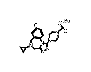 CC(C)(C)OC(=O)N1CCN(c2nnc3n2-c2ccc(Cl)cc2CN(C2CC2)C3)CC1